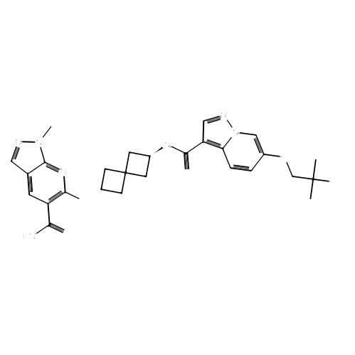 Cn1ncc2cc(C(N)=O)c(O[C@H]3CC4(C[C@H](NC(=O)c5cnn6cc(OCC(C)(C)O)ccc56)C4)C3)nc21